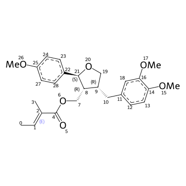 C/C=C(\C)C(=O)OC[C@H]1[C@@H](Cc2ccc(OC)c(OC)c2)CO[C@@H]1c1ccc(OC)cc1